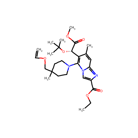 C=COCC1(C)CCN(c2c([C@H](OC(C)(C)C)C(=O)OC)c(C)cc3nc(C(=O)OCC)cn23)CC1